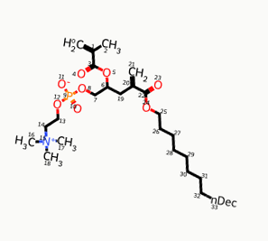 C=C(C)C(=O)OC(COP(=O)([O-])OCC[N+](C)(C)C)CC(=C)C(=O)OCCCCCCCCCCCCCCCCCC